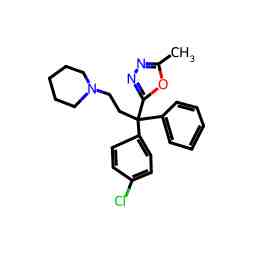 Cc1nnc(C(CCN2CCCCC2)(c2ccccc2)c2ccc(Cl)cc2)o1